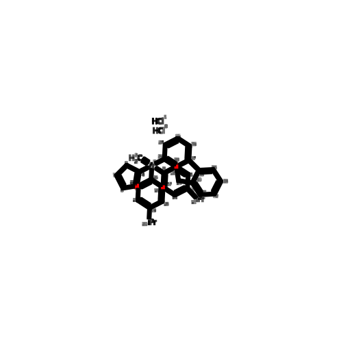 Cl.Cl.[CH2]=[Zr]([C]1=CC=CC1)([c]1ccc(C(C)C)cc1)([c]1ccc(C(C)C)cc1)[c]1cccc2c1Cc1ccccc1-2